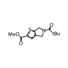 COC(=O)c1cc2c(s1)CN(C(=O)C(C)(C)C)C2